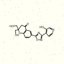 O=C1CC(CO)(CO)Oc2ccc(-c3nc(-c4ccncc4O)no3)cc21